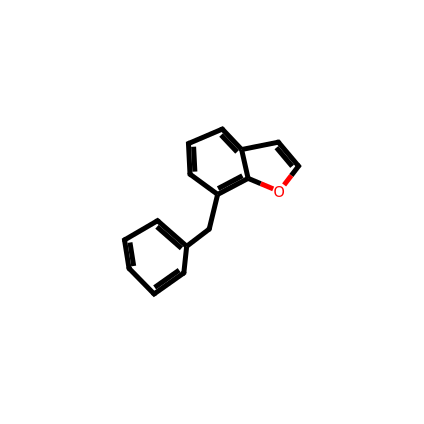 c1ccc(Cc2cccc3ccoc23)cc1